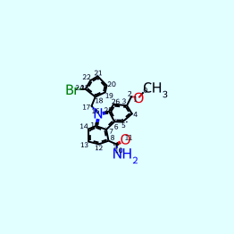 COCc1c[c]c2c3c(C(N)=O)cccc3n(Cc3ccccc3Br)c2c1